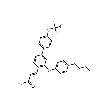 CCCCc1ccc(Oc2cc(-c3ccc(OC(F)(F)F)cc3)ccc2/C=C/C(=O)O)cc1